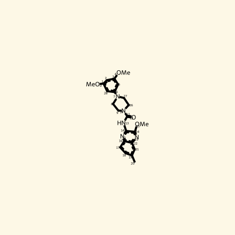 COc1cc(OC)cc(N2CCN(C(=O)Nc3nc4ccc(C)cc4nc3OC)CC2)c1